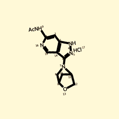 CC(=O)Nc1cc2[nH]nc(N3CC4CC3CO4)c2cn1.Cl